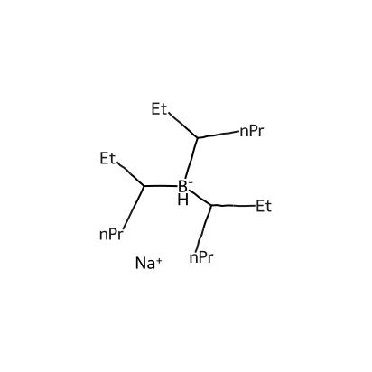 CCCC(CC)[BH-](C(CC)CCC)C(CC)CCC.[Na+]